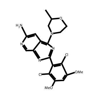 COc1cc(OC)c(Cl)c(-c2nc(N3CCOC(C)C3)c3cc(N)ncc3n2)c1Cl